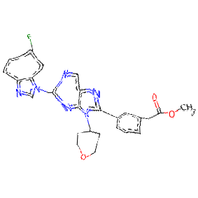 COC(=O)c1cccc(-c2nc3cnc(-n4cnc5ccc(F)cc54)nc3n2C2CCOCC2)c1